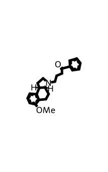 COc1cccc2c1CC[C@@H]1[C@H]2CCN1CCCC(=O)c1ccccc1